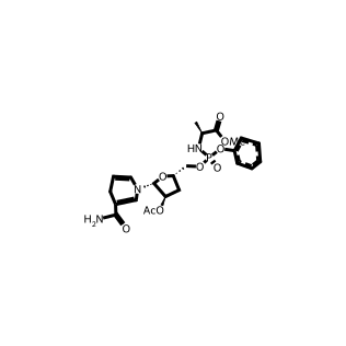 COC(=O)[C@H](C)NP(=O)(OC[C@@H]1C[C@@H](OC(C)=O)[C@H](N2C=CCC(C(N)=O)=C2)O1)Oc1ccccc1